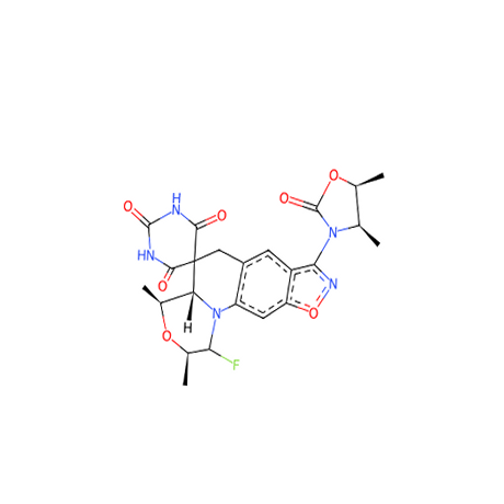 C[C@@H]1OC(=O)N(c2noc3cc4c(cc23)CC2(C(=O)NC(=O)NC2=O)[C@H]2[C@H](C)O[C@H](C)C(F)N42)[C@@H]1C